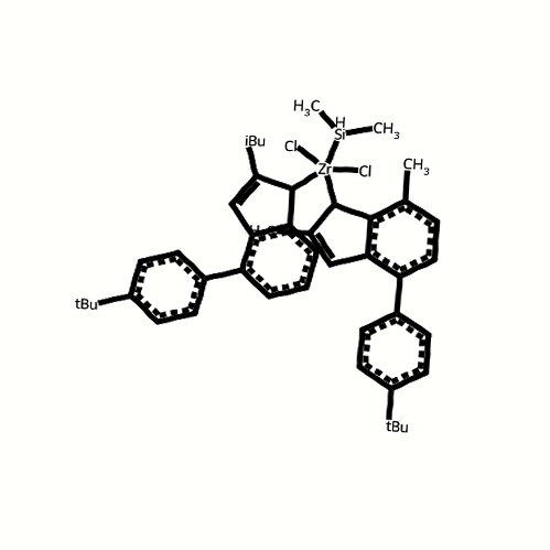 CCC(C)C1=Cc2c(-c3ccc(C(C)(C)C)cc3)cccc2[CH]1[Zr]([Cl])([Cl])([CH]1C(C)=Cc2c(-c3ccc(C(C)(C)C)cc3)ccc(C)c21)[SiH](C)C